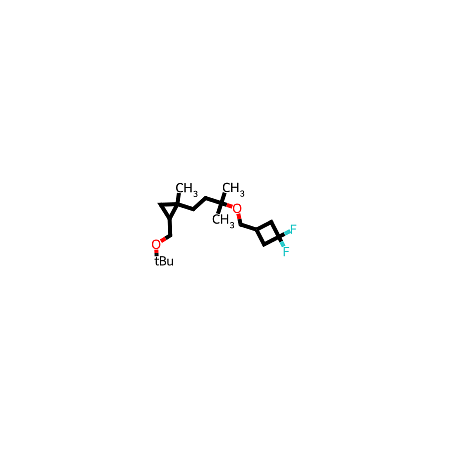 CC(C)(C)OCC1CC1(C)CCC(C)(C)OCC1CC(F)(F)C1